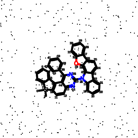 C[Si]1(C)c2ccccc2-c2c1ccc1nc(-n3c4ccccc4c4ccc5c6ccccc6oc5c43)nc(-c3ccccc3)c21